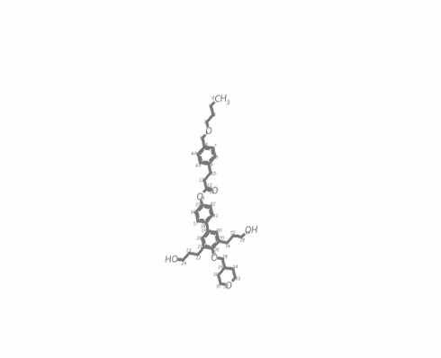 CCCCOCc1ccc(CCC(=O)Oc2ccc(-c3cc(CCCO)c(OCC4CCOCC4)c(CCCO)c3)cc2)cc1